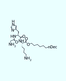 CCCCCCCCCCCCCCCCOC(=O)[C@H](CCCCN)NC(=O)[C@H](Cc1c[nH]cn1)NC(=O)CN